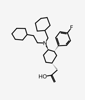 C=C(O)C[C@@H]1CC[C@@H](N(CCC2CCCCC2)CC2CCCCC2)[C@H](c2ccc(F)cc2)C1